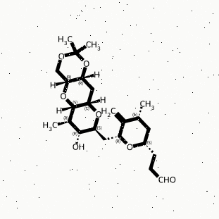 C=C1[C@H](C)C[C@H](CCC=O)O[C@@H]1C[C@@H]1O[C@H]2C[C@H]3OC(C)(C)OC[C@H]3O[C@H]2[C@H](C)[C@H]1O